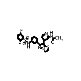 CC(=O)Nc1cc(-c2c(-c3cccc(NS(=O)(=O)c4cc(F)ccc4F)c3)nn3c2SCC3)ccn1